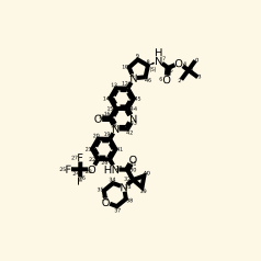 CC(C)(C)OC(=O)N[C@H]1CCN(c2ccc3c(=O)n(-c4ccc(OC(F)(F)F)c(NC(=O)C5(N6CCOCC6)CC5)c4)cnc3c2)C1